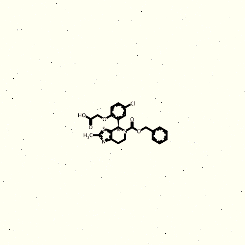 Cc1nc2c(s1)[C@@H](c1cc(Cl)ccc1OCC(=O)O)N(C(=O)OCc1ccccc1)CC2